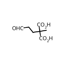 CC(CCC=O)(C(=O)O)C(=O)O